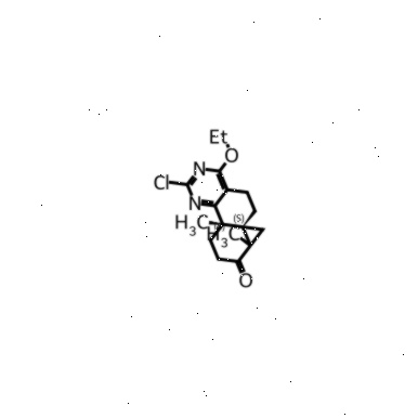 CCOc1nc(Cl)nc2c1CC[C@@]13CC1(C)C(=O)CC[C@]23C